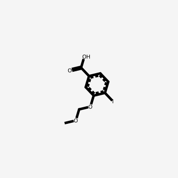 COCOc1cc(C(=O)O)ccc1I